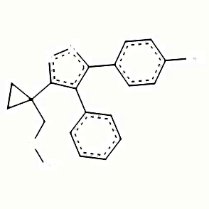 CCCOCC1(c2onc(-c3ccc(O)cc3)c2-c2ccccc2)CC1